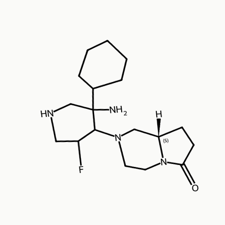 NC1(C2CCCCC2)CNCC(F)C1N1CCN2C(=O)CC[C@H]2C1